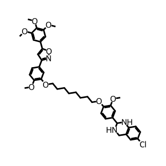 COc1cc(C2NCc3cc(Cl)ccc3N2)ccc1OCCCCCCCCOc1cc(-c2cc(-c3cc(OC)c(OC)c(OC)c3)on2)ccc1OC